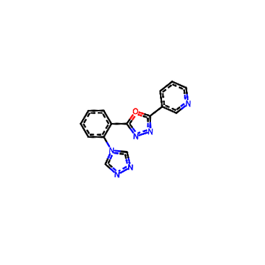 c1cncc(-c2nnc(-c3ccccc3-n3cnnc3)o2)c1